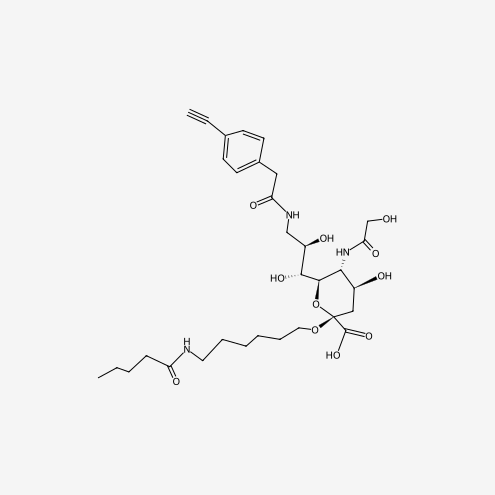 C#Cc1ccc(CC(=O)NC[C@@H](O)[C@@H](O)[C@@H]2O[C@@](OCCCCCCNC(=O)CCCC)(C(=O)O)C[C@H](O)[C@H]2NC(=O)CO)cc1